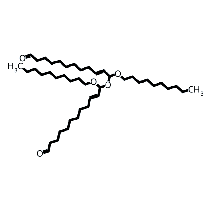 CCCCCCCCCCOC(C=CCCCCCCCCC=O)OC(C=CCCCCCCCCC=O)OCCCCCCCCCC